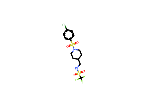 O=S(=O)(c1ccc(Cl)cc1)N1CCC(CNS(=O)(=O)C(F)(F)F)CC1